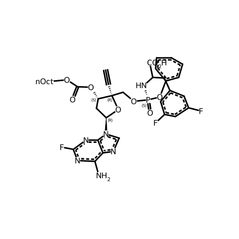 C#C[C@]1(CO[P@@](=O)(NC(Cc2cc(F)cc(F)c2)C(=O)O)Oc2ccccc2)O[C@@H](n2cnc3c(N)nc(F)nc32)C[C@@H]1OC(=O)OCCCCCCCC